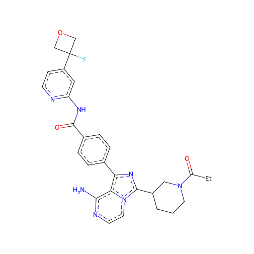 CCC(=O)N1CCCC(c2nc(-c3ccc(C(=O)Nc4cc(C5(F)COC5)ccn4)cc3)c3c(N)nccn23)C1